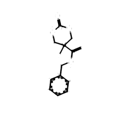 C=C(OCc1ccccc1)C1(C)COC(=O)OC1